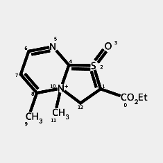 CCOC(=O)C1=S(=O)=C2N=CC=C(C)[N+]2(C)C1